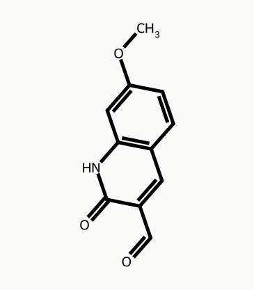 COc1ccc2cc(C=O)c(=O)[nH]c2c1